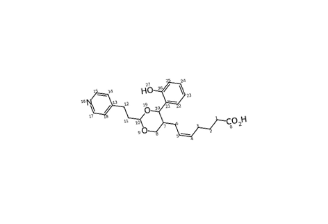 O=C(O)CCC/C=C\CC1COC(CCc2ccncc2)OC1c1ccccc1O